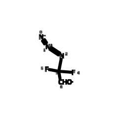 [N-]=[N+]=NC(F)(F)[C]=O